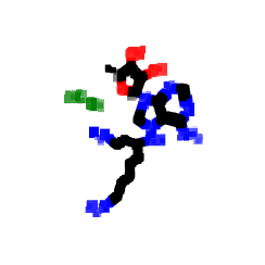 C[C@H]1O[C@@H](N2CN(NC(CCN)CCCCCN)c3c(N)ncnc32)C(O)C1O.Cl.Cl